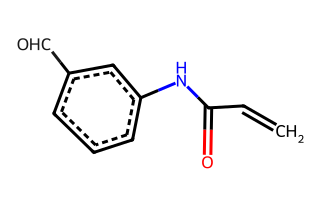 C=CC(=O)Nc1cccc(C=O)c1